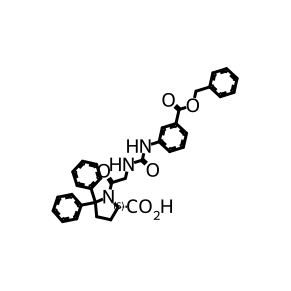 O=C(NCC(=O)N1[C@H](C(=O)O)CCC1(c1ccccc1)c1ccccc1)Nc1cccc(C(=O)OCc2ccccc2)c1